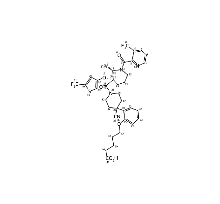 CCC[C@H]1N(C(=O)c2ncccc2C(F)(F)F)CCC[C@@]1(Oc1csc(C(F)(F)F)c1)C(=O)N1CCC(C#N)(c2ccccc2OCCCCC(=O)O)CC1